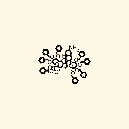 C[C@H](CCC(=O)O)[C@H]1CC[C@H]2[C@@H]3[C@@H](C4O[C@H](COCc5ccccc5)[C@@H](OCc5ccccc5)[C@H](OCc5ccccc5)[C@H]4OCc4ccccc4)C[C@@H]4C[C@@H](N)CC[C@]4(C)[C@H]3C[C@@H]([C@@H]3O[C@H](COCc4ccccc4)[C@@H](OCc4ccccc4)[C@H](OCc4ccccc4)[C@H]3OCc3ccccc3)[C@]12C